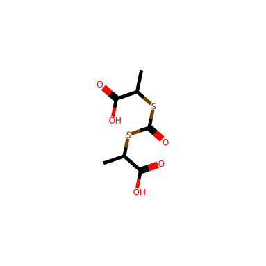 CC(SC(=O)SC(C)C(=O)O)C(=O)O